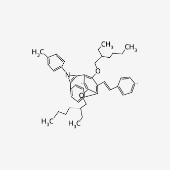 CCCCC(CC)COc1c(C=Cc2cc[c]cc2)c2c(OCC(CC)CCCC)[c]c1c1c(c3ccc2cc3)n1-c1ccc(C)cc1